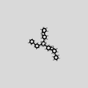 c1ccc(-c2cccc(-c3nc(-c4ccc5c(c4)oc4ccc(-c6ccccc6)cc45)nc(-c4ccc5c(c4)sc4ccccc45)n3)c2)cc1